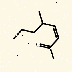 CCCC(C)/C=C\C(C)=O